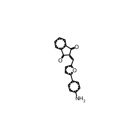 Nc1ccc(-c2ccc(C=C3C(=O)c4ccccc4C3=O)o2)cc1